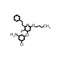 CCCCOc1cc(Oc2cc(N)cc(Cl)c2)c(F)c(CCc2ccccc2)n1